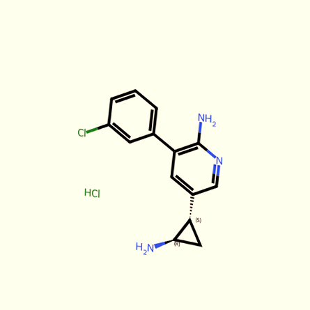 Cl.Nc1ncc([C@@H]2C[C@H]2N)cc1-c1cccc(Cl)c1